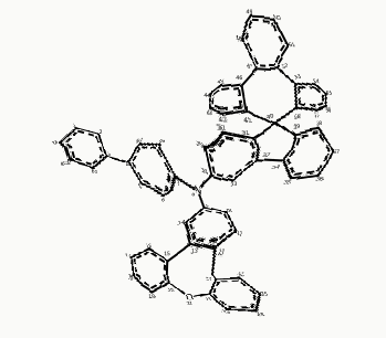 c1ccc(-c2ccc(N(c3ccc4c(c3)-c3ccccc3Oc3ccccc3-4)c3ccc4c(c3)-c3ccccc3C43c4ccccc4-c4ccccc4-c4ccccc43)cc2)cc1